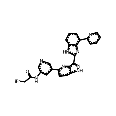 CC(C)CC(=O)Nc1cncc(-c2ccc3[nH]nc(-c4nc5c(-c6ccccn6)cccc5[nH]4)c3n2)c1